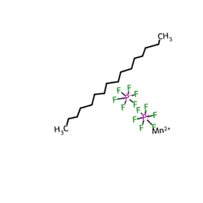 CCCCCCCCCCCCCCCC.F[P-](F)(F)(F)(F)F.F[P-](F)(F)(F)(F)F.[Mn+2]